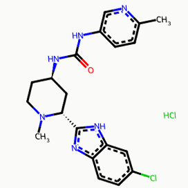 Cc1ccc(NC(=O)N[C@@H]2CCN(C)[C@@H](c3nc4ccc(Cl)cc4[nH]3)C2)cn1.Cl